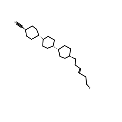 N#C[C@H]1CC[C@H](C2CCC([C@H]3CC[C@H](CC/C=C/CCF)CC3)CC2)CC1